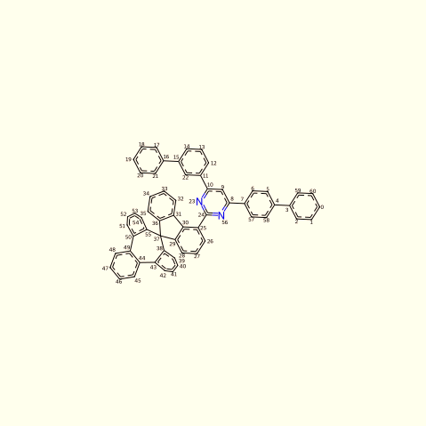 c1ccc(-c2ccc(-c3cc(-c4cccc(-c5ccccc5)c4)nc(-c4cccc5c4-c4ccccc4C54c5ccccc5-c5ccccc5-c5ccccc54)n3)cc2)cc1